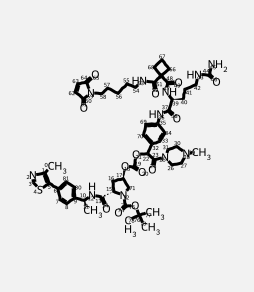 Cc1ncsc1-c1ccc([C@H](C)NC(=O)[C@@H]2C[C@@H](OC(=O)OC(C(=O)N3CCN(C)CC3)c3ccc(NC(=O)[C@H](CCCNC(N)=O)NC(=O)C4(C(=O)NCCCCCN5C(=O)C=CC5=O)CCC4)cc3)CN2C(=O)OC(C)(C)C)cc1